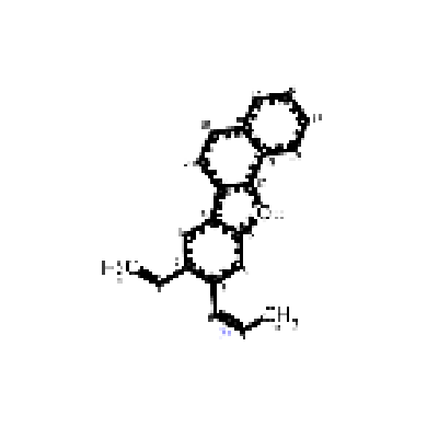 C=Cc1cc2c(cc1/C=C\C)oc1c3ccccc3ccc21